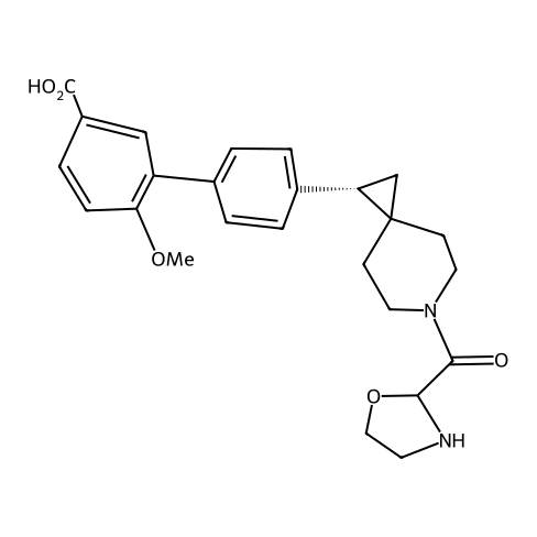 COc1ccc(C(=O)O)cc1-c1ccc([C@@H]2CC23CCN(C(=O)C2NCCO2)CC3)cc1